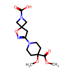 COC(=O)C1(OC)CCN(C2=NOC3(C2)CN(C(=O)O)C3)CC1